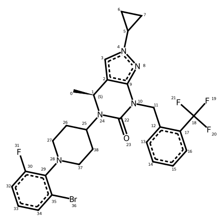 C[C@H]1c2cn(C3CC3)nc2N(Cc2ccccc2C(F)(F)F)C(=O)N1C1CCN(c2c(F)cccc2Br)CC1